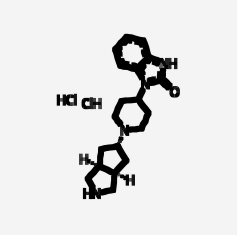 Cl.Cl.O=c1[nH]c2ccccc2n1C1CCN([C@@H]2C[C@H]3CNC[C@H]3C2)CC1